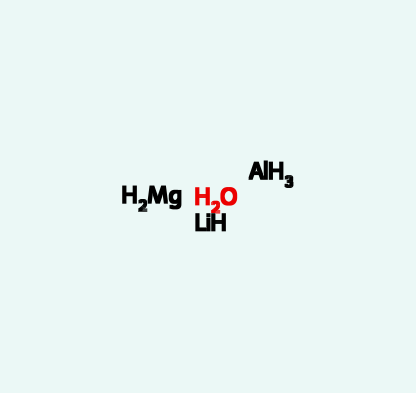 O.[AlH3].[LiH].[MgH2]